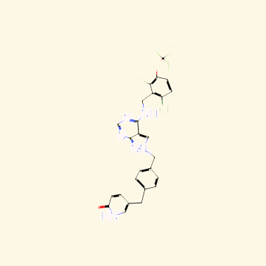 O=c1ccc(Cc2ccc(Cn3cc4c(NCc5c(Cl)ccc(OC(F)(F)F)c5F)ncnc4n3)cc2)c[nH]1